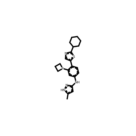 Cc1cc(Nc2ccc(-c3cnc(C4CCCCC4)s3)c(P3CCC3)c2)n[nH]1